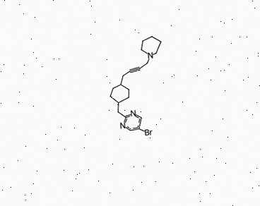 Brc1cnc(CC2CCC(CC#CCN3CCCCC3)CC2)nc1